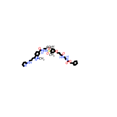 Cc1cc(OCCCC(=O)NCCNC(=O)OCc2ccccc2)cc(C)c1S(=O)(=O)N[C@@H](CNC(=O)c1ccc2c(CCCNc3ccccn3)nn(C)c2c1)C(=O)O